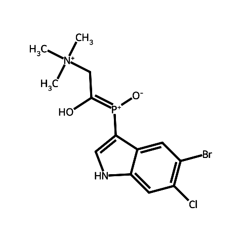 C[N+](C)(C)CC(O)=[P+]([O-])c1c[nH]c2cc(Cl)c(Br)cc12